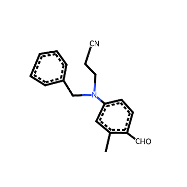 Cc1cc(N(CCC#N)Cc2ccccc2)ccc1C=O